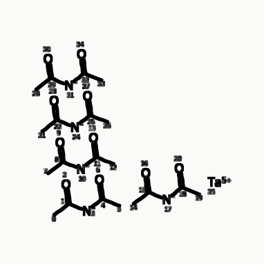 CC(=O)[N-]C(C)=O.CC(=O)[N-]C(C)=O.CC(=O)[N-]C(C)=O.CC(=O)[N-]C(C)=O.CC(=O)[N-]C(C)=O.[Ta+5]